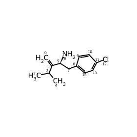 C=C(C(C)C)[C@@H](N)Cc1ccc(Cl)cc1